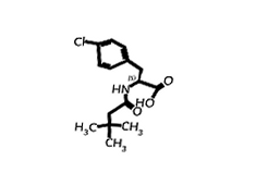 CC(C)(C)CC(=O)N[C@@H](Cc1ccc(Cl)cc1)C(=O)O